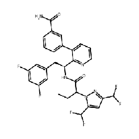 CCC(C(=O)N[C@@H](Cc1cc(F)cc(F)c1)c1ncccc1-c1cccc(C(N)=O)c1)n1nc(C(F)F)cc1C(F)F